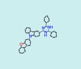 c1ccc(C2=NC(c3ccc4c(c3)c3ccccc3n4-c3ccc4c(c3)oc3ccccc34)NC(c3ccccc3)N2)cc1